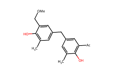 COCc1cc(Cc2cc(C)c(O)c(C(C)=O)c2)cc(C)c1O